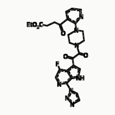 CCOC(=O)CCC(=O)c1cccnc1N1CCN(C(=O)C(=O)c2c[nH]c3c(-n4ccnn4)ncc(F)c23)CC1